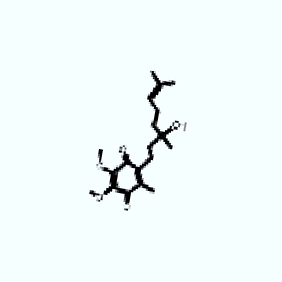 COC1=C(OC)C(=O)C(CCC(C)(O)CCC=C(C)C)=C(C)C1=O